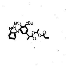 C=CC(=O)OC(C)OC(=O)C(C)c1cc(-n2nnc3ccccc32)c(O)c(C(C)(C)C)c1